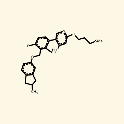 CSCCCOc1cc(C)c(-c2ccc(F)c(COc3ccc4c(c3)CC(C)C4)c2F)cn1